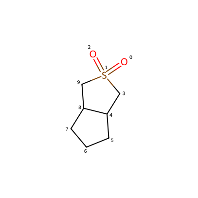 O=S1(=O)CC2CCCC2C1